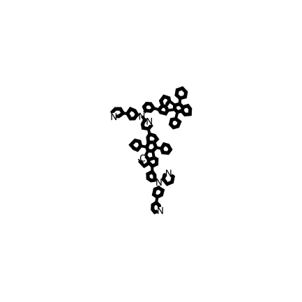 c1ccc(-c2c3c(c(-c4ccccc4)c4ccccc24)-c2ccc(-c4cccc(N(c5ccc(-c6cccnc6)cc5)c5ccc(-c6ccc7c(-c8ccccc8)c8c(c(-c9ccccc9)c7c6)-c6cccc7c(-c9cccc(N(c%10ccc(-c%11cccnc%11)cc%10)c%10cccnc%10)c9)ccc-8c67)cn5)c4)c4cccc-3c24)cc1